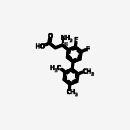 Cc1cc(C)c(-c2cc(F)c(F)c([C@@H](N)CC(=O)O)c2)c(C)c1